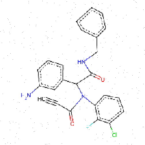 C#CC(=O)N(c1cccc(Cl)c1F)C(C(=O)NCc1ccccc1)c1cccc(N)c1